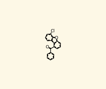 O=C(c1ccccc1)c1cccc2oc3c(Cl)cccc3c12